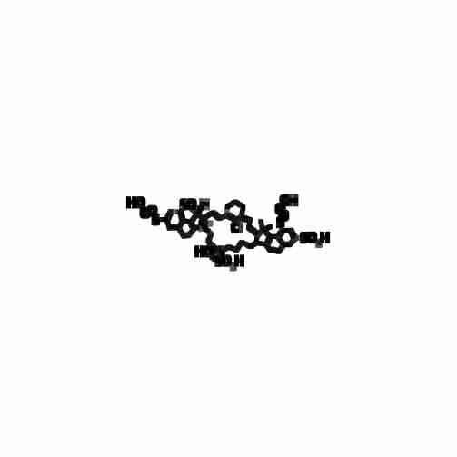 CC1(C)C(=CC=C2CCCC(C=CC3=[N+](CCCCS(=O)(=O)O)c4ccc5cc(SOOO)cc(S(=O)(=O)O)c5c4C3(C)C)=C2Cl)C(CCCCS(=O)(=O)O)c2ccc3cc(S(=O)(=O)O)cc(SOOO)c3c21